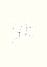 CC(S)(C(=O)O)C(CO)(CO)CCO